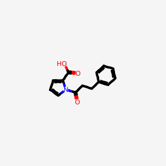 O=C(O)c1cccn1C(=O)CCc1ccccc1